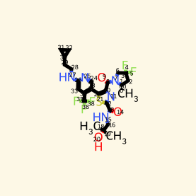 C[C@H]1CC(F)(F)CN1C(=O)c1nc(C(=O)NCC(C)(C)O)sc1-c1cnc(NCCC2CC2)cc1C(F)(F)F